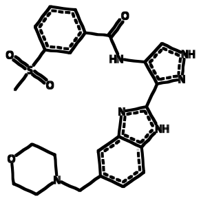 CS(=O)(=O)c1cccc(C(=O)Nc2c[nH]nc2-c2nc3cc(CN4CCOCC4)ccc3[nH]2)c1